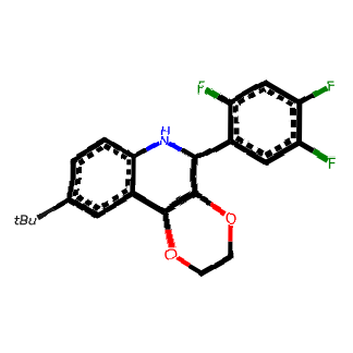 CC(C)(C)c1ccc2c(c1)C1OCCOC1C(c1cc(F)c(F)cc1F)N2